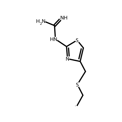 [CH2]CSCc1csc(NC(=N)N)n1